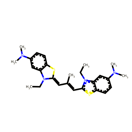 CCN1/C(=C/C(C)=C/c2sc3ccc(N(C)C)cc3[n+]2CC)Sc2ccc(N(C)C)cc21